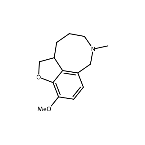 COc1ccc2c3c1OCC3CCCN(C)C2